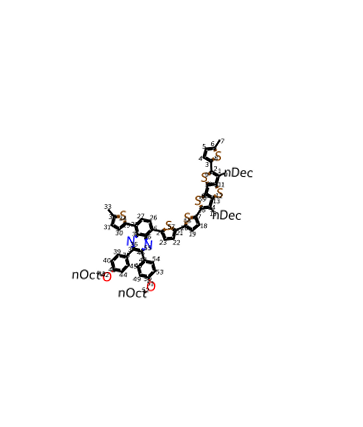 CCCCCCCCCCc1c(-c2ccc(C)s2)sc2c1sc1c(CCCCCCCCCC)c(-c3ccc(-c4ccc(-c5ccc(-c6ccc(C)s6)c6nc(-c7ccc(OCCCCCCCC)cc7)c(-c7ccc(OCCCCCCCC)cc7)nc56)s4)s3)sc12